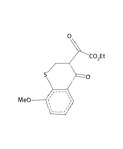 CCOC(=O)C(=O)C1CSc2c(OC)cccc2C1=O